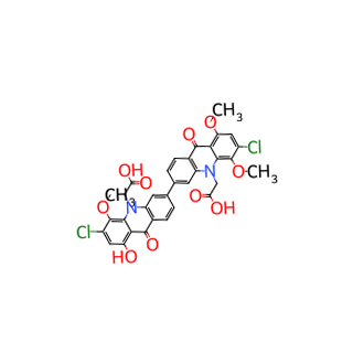 COc1cc(Cl)c(OC)c2c1c(=O)c1ccc(-c3ccc4c(=O)c5c(O)cc(Cl)c(OC)c5n(CC(=O)O)c4c3)cc1n2CC(=O)O